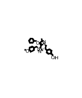 COc1ccc(Cn2cnnc2-c2c(OCc3ccccc3)c(C)nn2CCc2ccc(CO)cc2)cc1